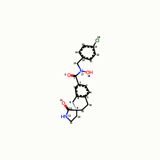 O=C(c1ccc2c(c1)C[C@@]1(CCNC1=O)CC2)N(O)Cc1ccc(Cl)cc1